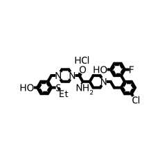 CCSc1ccc(O)cc1CN1CCN(C(=O)[C@H](N)C2CCN(CCc3cc(Cl)ccc3-c3cc(O)ccc3F)CC2)CC1.Cl